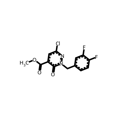 COC(=O)c1cc(Cl)nn(Cc2ccc(F)c(F)c2)c1=O